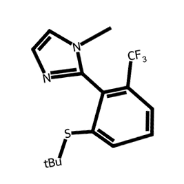 Cn1ccnc1-c1c(SC(C)(C)C)cccc1C(F)(F)F